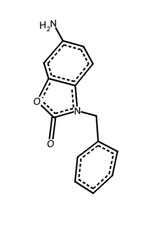 Nc1ccc2c(c1)oc(=O)n2Cc1ccccc1